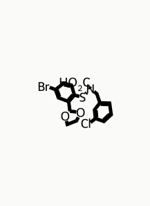 O=C(O)N(Cc1cccc(Cl)c1)Sc1ccc(Br)cc1C1OCCO1